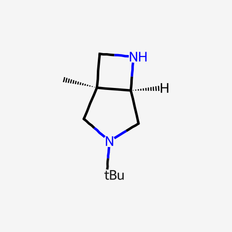 CC(C)(C)N1C[C@@H]2NC[C@]2(C)C1